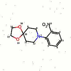 O=[N+]([O-])c1ccccc1N1CCC2(CC1)OCCO2